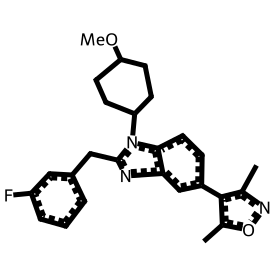 COC1CCC(n2c(Cc3cccc(F)c3)nc3cc(-c4c(C)noc4C)ccc32)CC1